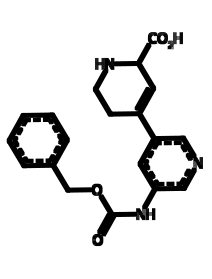 O=C(Nc1cncc(C2=CC(C(=O)O)NCC2)c1)OCc1ccccc1